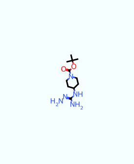 CC(C)(C)OC(=O)N1CCC(NC(N)=NN)CC1